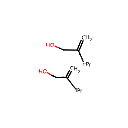 C=C(CO)C(C)C.C=C(CO)CCC